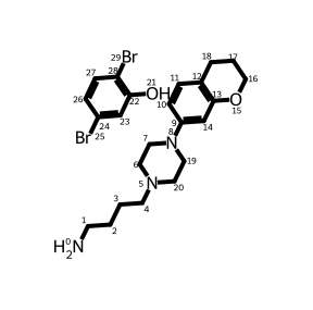 NCCCCN1CCN(c2ccc3c(c2)OCCC3)CC1.Oc1cc(Br)ccc1Br